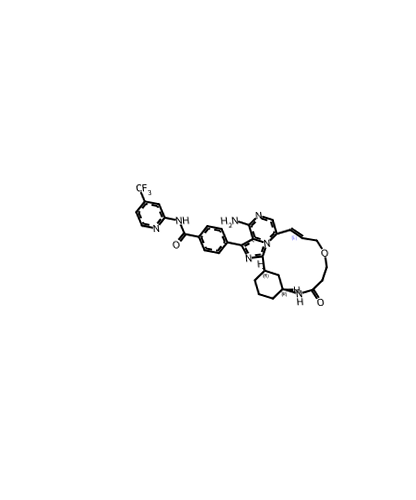 Nc1ncc2n3c(nc(-c4ccc(C(=O)Nc5cc(C(F)(F)F)ccn5)cc4)c13)[C@@H]1CCC[C@H](C1)NC(=O)CCOC/C=C/2